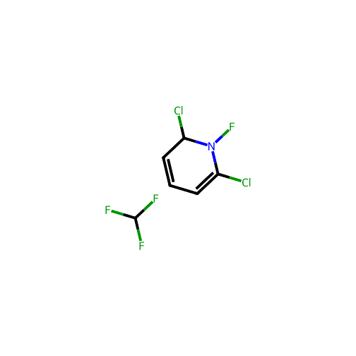 FC(F)F.FN1C(Cl)=CC=CC1Cl